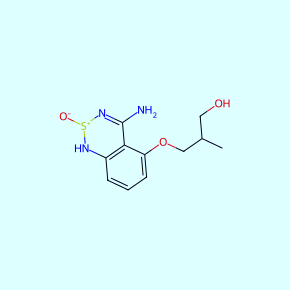 CC(CO)COc1cccc2c1C(N)=N[S+]([O-])N2